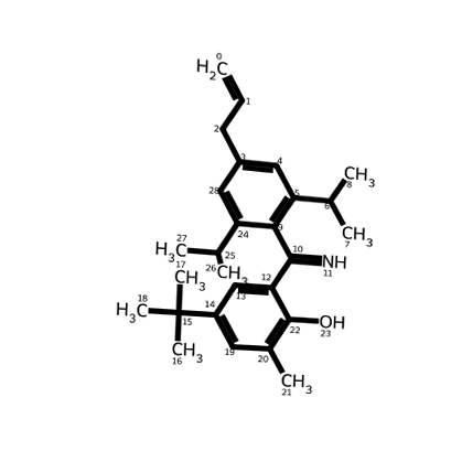 C=CCc1cc(C(C)C)c(C(=N)c2cc(C(C)(C)C)cc(C)c2O)c(C(C)C)c1